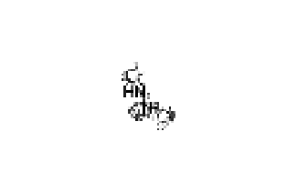 c1ccc(CNC[C@@H]2COCCN2Cc2ccccc2)cc1